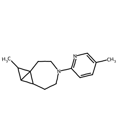 Cc1ccc(N2CCC3C4C(C)C34CC2)nc1